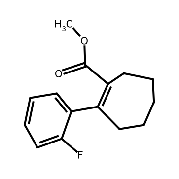 COC(=O)C1=C(c2ccccc2F)CCCCC1